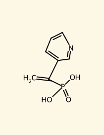 C=C(c1cccnc1)P(=O)(O)O